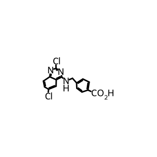 O=C(O)c1ccc(CNc2nc(Cl)nc3ccc(Cl)cc23)cc1